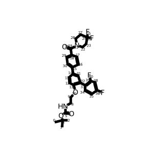 CC(C)(C)OC(=O)NCCOc1ccc(-c2ccc(C(=O)N3CCC(F)(F)CC3)cc2)cc1-c1ccc(F)cc1F